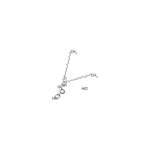 CCCCCCCCCCCCCCOCC(CNC(=O)c1cccc(N2CCNCC2)c1)OCCCCCCCCCCCCCC.Cl